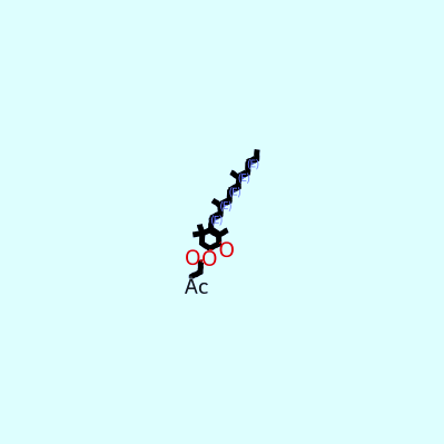 C/C=C/C=C(C)/C=C/C=C(C)/C=C/C1=C(C)C(=O)C(OC(=O)CCC(C)=O)CC1(C)C